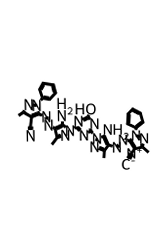 [C-]#[N+]c1c(C)nn(-c2ccccc2)c1N=Nc1c(C)nn(-c2nc(O)nc(-n3nc(C)c(N=Nc4c(C#N)c(C)nn4-c4ccccc4)c3N)n2)c1N